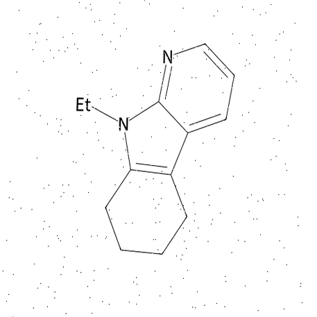 CCn1c2c(c3cccnc31)CCCC2